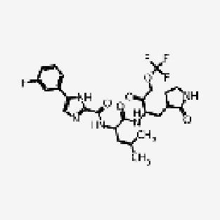 CC(C)CC(NC(=O)c1ncc(-c2cccc(F)c2)[nH]1)C(=O)NC(CC1CCNC1=O)C(=O)COC(F)(F)F